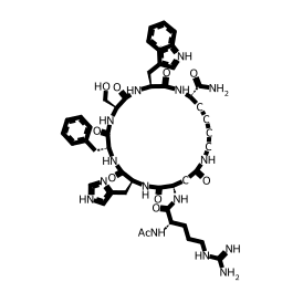 CC(=O)N[C@@H](CCCNC(=N)N)C(=O)N[C@H]1CC(=O)NCCCC[C@@H](C(N)=O)NC(=O)[C@H](Cc2c[nH]c3ccccc23)NC(=O)[C@H](CO)NC(=O)[C@@H](Cc2ccccc2)NC(=O)[C@H](Cc2c[nH]cn2)NC1=O